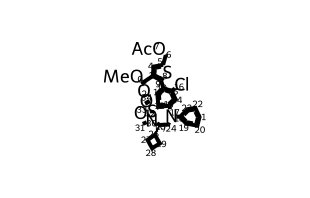 COC(=O)c1cc(COC(C)=O)sc1-c1cc2c(cc1Cl)N(c1ccccc1)C[C@@H](C1CCC1)N(C)S2(=O)=O